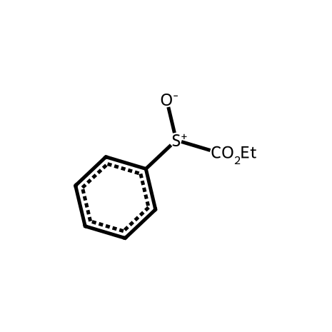 CCOC(=O)[S+]([O-])c1ccccc1